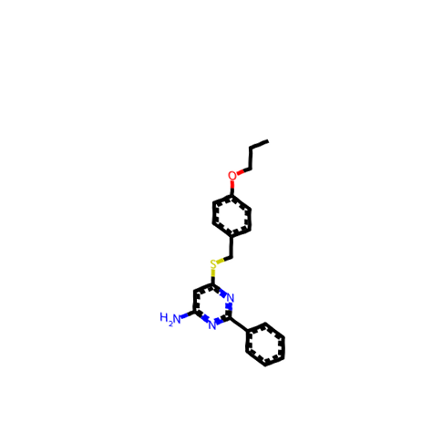 CCCOc1ccc(CSc2cc(N)nc(-c3ccccc3)n2)cc1